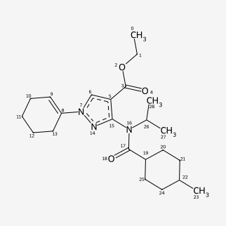 CCOC(=O)c1cn(C2=CCCCC2)nc1N(C(=O)C1CCC(C)CC1)C(C)C